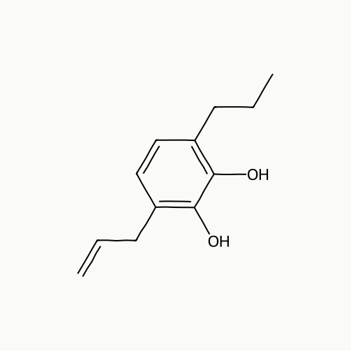 C=CCc1ccc(CCC)c(O)c1O